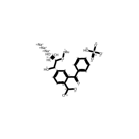 C#C.CCCCOCCO.O=C(c1ccccc1)c1ccccc1C(Cl)Cl.O=P([O-])([O-])O.[Na+].[Na+].[Na+].[OH-]